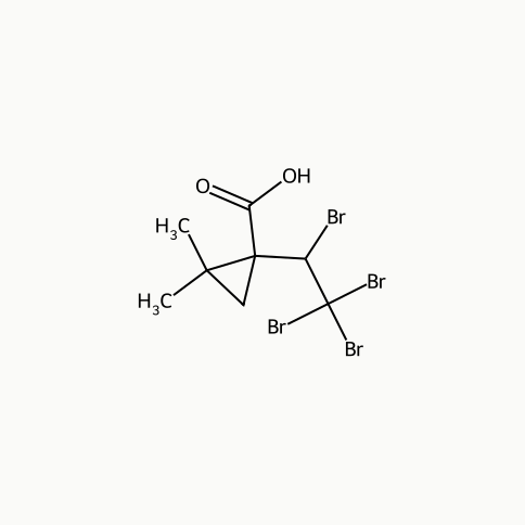 CC1(C)CC1(C(=O)O)C(Br)C(Br)(Br)Br